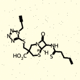 C#CCn1nnnc1SCC1(C(=O)O)CS[C@@H]2C(NC(=S)CCC=C)C(=O)N2C1